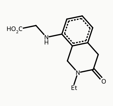 CCN1Cc2c(cccc2NCC(=O)O)CC1=O